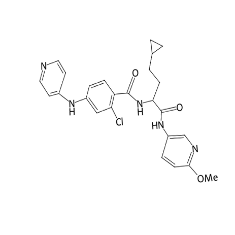 COc1ccc(NC(=O)C(CCC2CC2)NC(=O)c2ccc(Nc3ccncc3)cc2Cl)cn1